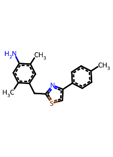 Cc1ccc(-c2csc(Cc3cc(C)c(N)cc3C)n2)cc1